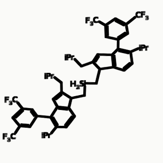 CC(C)CC1=Cc2c(ccc(C(C)C)c2-c2cc(C(F)(F)F)cc(C(F)(F)F)c2)C1C[SiH2]CC1C(CC(C)C)=Cc2c1ccc(C(C)C)c2-c1cc(C(F)(F)F)cc(C(F)(F)F)c1